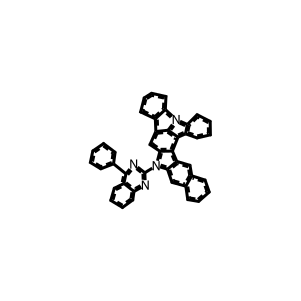 c1ccc(-c2nc(-n3c4cc5ccccc5cc4c4c5c6ccccc6n6c7ccccc7c(cc43)c56)nc3ccccc23)cc1